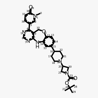 Cn1cc(-c2ncnc3c2COc2ccc(C4CCN(C5CN(C(=O)OC(C)(C)C)C5)CC4)cc2N3)ccc1=O